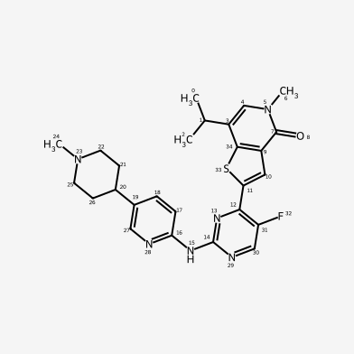 CC(C)c1cn(C)c(=O)c2cc(-c3nc(Nc4ccc(C5CCN(C)CC5)cn4)ncc3F)sc12